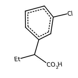 CCC(C(=O)O)c1cccc(Cl)c1